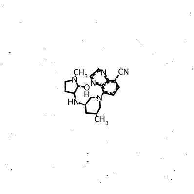 C[C@H]1C[C@@H](NC2CCN(C)C2O)CN(c2ccc(C#N)c3nccnc23)C1